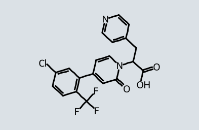 O=C(O)C(Cc1ccncc1)n1ccc(-c2cc(Cl)ccc2C(F)(F)F)cc1=O